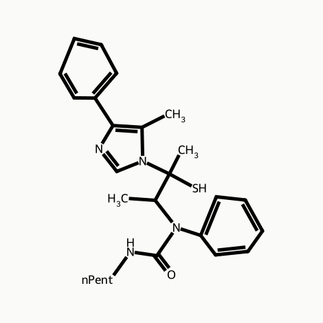 CCCCCNC(=O)N(c1ccccc1)C(C)C(C)(S)n1cnc(-c2ccccc2)c1C